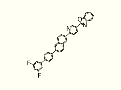 Fc1cc(F)cc(-c2ccc(-c3ccc4cc(-c5ccc(-c6nc7ccccc7o6)cn5)ccc4c3)cc2)c1